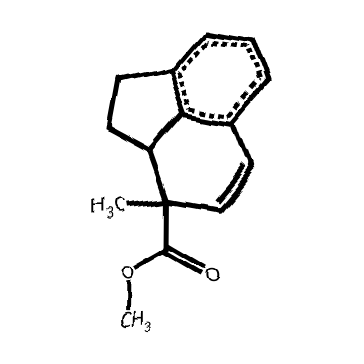 COC(=O)C1(C)C=Cc2cccc3c2C1CC3